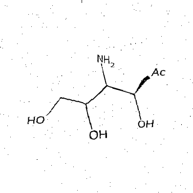 CC(=O)[C@@H](O)C(N)C(O)CO